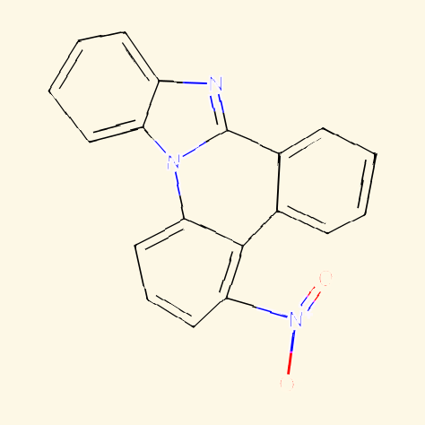 O=[N+]([O-])c1cccc2c1c1ccccc1c1nc3ccccc3n21